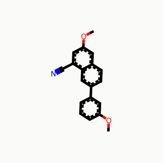 COc1cccc(-c2ccc3cc(OC)cc(C#N)c3c2)c1